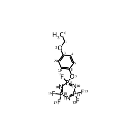 CCOc1ccc(OP2(F)=NP(F)(F)=NP(F)(F)=N2)cc1